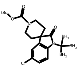 BC(B)(B)N1C(=O)C2(CCN(C(=O)OC(C)(C)C)CC2)c2cc(Cl)ccc21